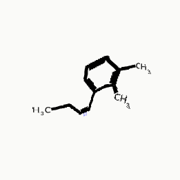 CC/C=[C]\c1cccc(C)c1C